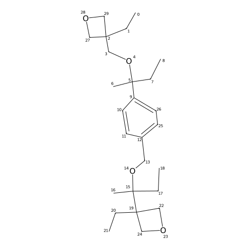 CCC1(COC(C)(CC)c2ccc(COC(C)(CC)C3(CC)COC3)cc2)COC1